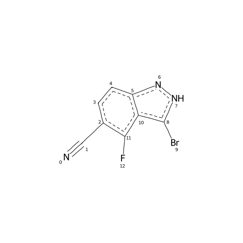 N#Cc1ccc2n[nH]c(Br)c2c1F